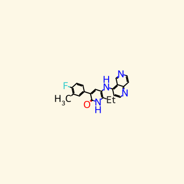 CCc1[nH]c(=O)c(-c2ccc(F)c(C)c2)cc1Nc1ccnc2ccncc12